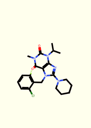 CC(C)n1c(=O)n(C)c(=O)c2c1nc(N1CCCCC1)n2Cc1c(F)cccc1Cl